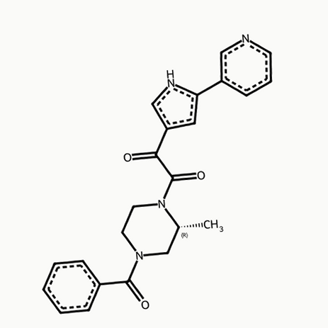 C[C@@H]1CN(C(=O)c2ccccc2)CCN1C(=O)C(=O)c1c[nH]c(-c2cccnc2)c1